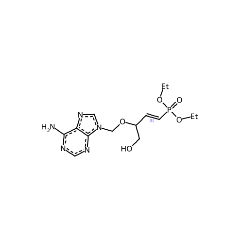 CCOP(=O)(/C=C/C(CO)OCn1cnc2c(N)ncnc21)OCC